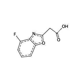 O=C(O)Cc1nc2c(F)cccc2o1